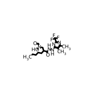 CCCCCC(CN(O)C=O)C(=O)NNc1nc(C(F)(F)F)nc(C)c1C